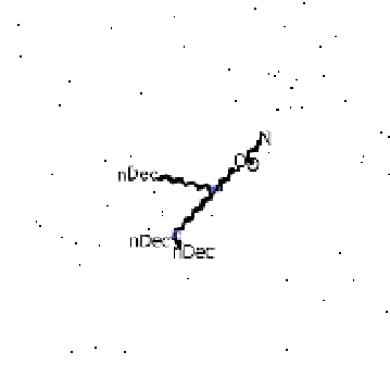 CCCCCCCCCCCCCCCCCC/C(=C\CCCCOC(=O)CCCN(C)C)CCCCCCC/C=C(/CCCCCCCCCC)CCCCCCCCCCC